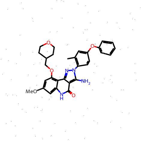 COc1cc(OCC2CCOCC2)c2c(c1)[nH]c(=O)c1c(N)n(-c3ccc(Oc4ccccc4)cc3C)nc12